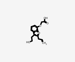 C=CCc1oc2c(OCC(=O)O)cccc2c1CCO